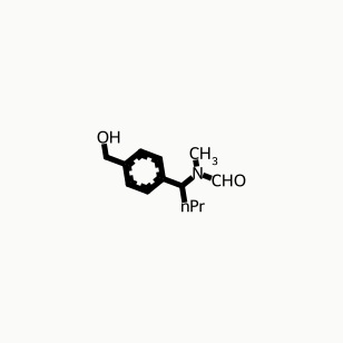 CCCC(c1ccc(CO)cc1)N(C)C=O